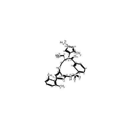 Cc1cccc(C)c1-c1cc2nc(n1)NS(=O)(=O)c1cccc(c1)C(=O)N(c1cn(C)nc1C)[C@H](CC(C)(C)C)CO2